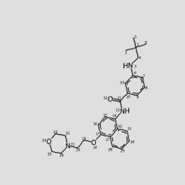 CC(C)(C)CNc1cccc(C(=O)Nc2ccc(OCCN3CCOCC3)c3ccccc23)c1